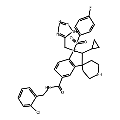 O=C(NCc1ccccc1Cl)c1ccc2c(c1)C1(CCNCC1)C(C1CC1)[N+]2(Cc1nnn[nH]1)S(=O)(=O)c1ccc(F)cc1